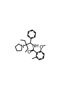 CCC(CC)(C(NC(=O)c1c(C)cccc1OC)c1ccccc1)N1CCCC1